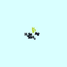 S.[Ag].[SbH3].[SeH2]